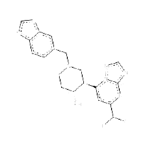 C[C@@H]1CCN(Cc2ccc3ncsc3c2)C[C@H]1c1cc(C(F)F)nc2ncnn12